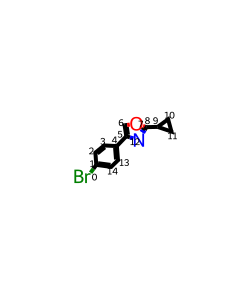 Brc1ccc(-c2coc(C3CC3)n2)cc1